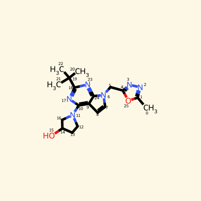 Cc1nnc(Cn2ccc3c(N4CCC(O)C4)nc(C(C)(C)C)nc32)o1